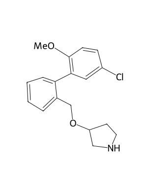 COc1ccc(Cl)cc1-c1ccccc1COC1CCNC1